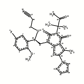 COc1ccc(F)cc1[C@H](Cn1c(=O)n(C(C)(C)C(N)=O)c(=O)c2c(C)c(-n3cccn3)sc21)OCCC#N